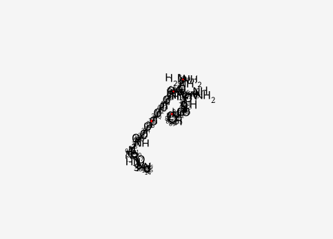 Cc1nc2cc(C(=O)Nc3nc(-c4ccccn4)cs3)ccc2n1CCCNC(=O)CCOCCOCCOCCOCCOCCOCCNC(=O)[C@H](CCCNC(N)N)NC(=O)[C@H](CCCNC(=N)N)NC(=O)C1CCN(C(=O)OCC2[C@H]3CCC#CCC[C@@H]23)CC1